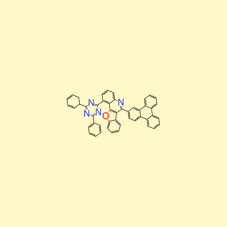 C1=CCC(c2nc(-c3ccccc3)nc(-c3cccc4nc(-c5ccc6c7ccccc7c7ccccc7c6c5)c5c6ccccc6oc5c34)n2)C=C1